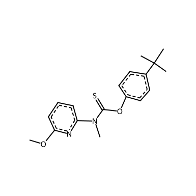 COc1cccc(N(C)C(=S)Oc2ccc(C(C)(C)C)cc2)n1